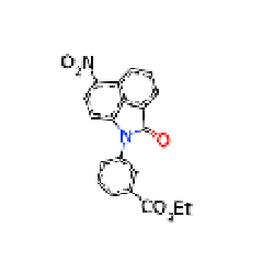 CCOC(=O)c1cccc(N2C(=O)c3cccc4c([N+](=O)[O-])ccc2c34)c1